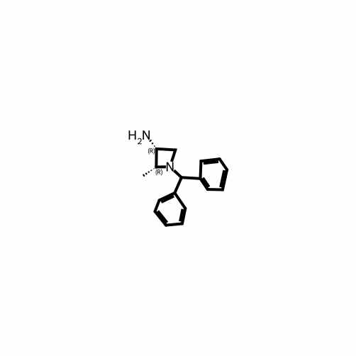 C[C@@H]1[C@H](N)CN1C(c1ccccc1)c1ccccc1